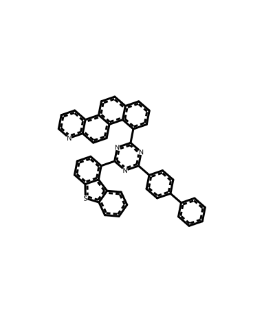 c1ccc(-c2ccc(-c3nc(-c4cccc5ccc6c7cccnc7ccc6c45)nc(-c4cccc5sc6ccccc6c45)n3)cc2)cc1